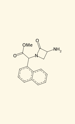 COC(=O)C(c1cccc2ccccc12)N1CC(N)C1=O